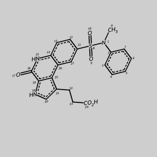 CN(c1ccccc1)S(=O)(=O)c1ccc2[nH]c(=O)c3[nH]cc(CCC(=O)O)c3c2c1